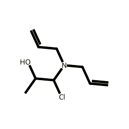 C=CCN(CC=C)C(Cl)C(C)O